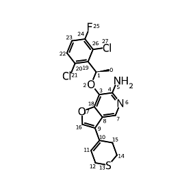 C[C@@H](Oc1c(N)ncc2c(C3=CCSCC3)coc12)c1c(Cl)ccc(F)c1Cl